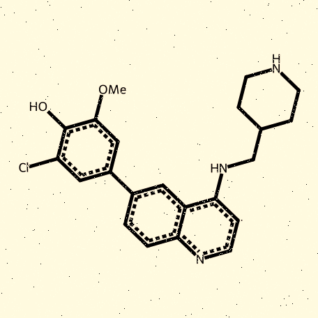 COc1cc(-c2ccc3nc[c]c(NCC4CCNCC4)c3c2)cc(Cl)c1O